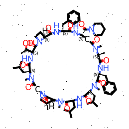 CC(C)CC1NC(=O)[C@H](CC(C)C)N(C)C(=O)[C@H](Cc2ccccc2)NC(=O)[C@H](C)N(C)C(=O)C[C@@H](C(=O)N2CCCCC2)NC(=O)[C@H](Cc2ccccc2)NC(=O)[C@@H]2CCN2C(=O)[C@H]([C@@H](C)O)NC(=O)[C@H](CC(C)C)N(C)C(=O)CN2C[C@H](C)[C@@H](C2=O)N(C)C1=O